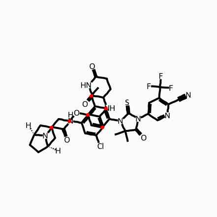 CCc1cc(N2C(=S)N(c3cnc(C#N)c(C(F)(F)F)c3)C(=O)C2(C)C)ccc1OCCC1C[C@H]2CC[C@@H](C1)N2CC(=O)Nc1cc(Cl)cc(NC2CCC(=O)NC2=O)c1